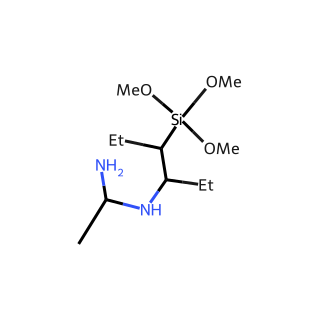 CCC(NC(C)N)C(CC)[Si](OC)(OC)OC